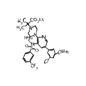 CCOC(=O)C(C)(C)N1CCN2c3ncc(-c4cc(Cl)cc(OC)c4)cc3N(S(=O)(=O)c3cccc(C(F)(F)F)c3)C[C@@H]2C1